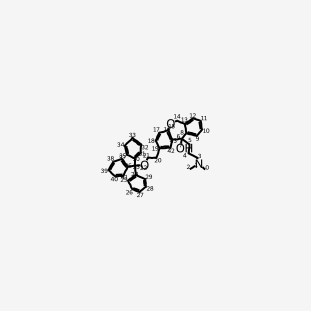 CN(C)CCCC1(O)c2ccccc2COc2ccc(CCOC(c3ccccc3)(c3ccccc3)c3ccccc3)cc21